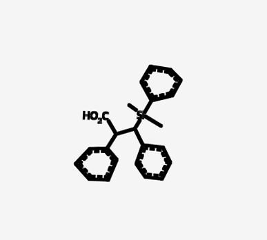 C[Si](C)(c1ccccc1)C(c1ccccc1)C(C(=O)O)c1ccccc1